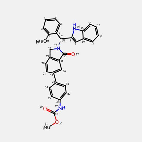 COc1ccccc1[C@H](c1cc2ccccc2[nH]1)N1Cc2ccc(-c3ccc(NC(=O)OC(C)(C)C)cc3)cc2C1=O